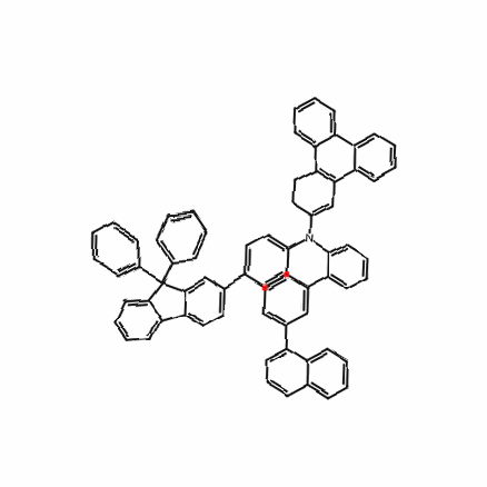 C1=C(N(c2ccc(-c3ccc4c(c3)C(c3ccccc3)(c3ccccc3)c3ccccc3-4)cc2)c2ccccc2-c2cccc(-c3cccc4ccccc34)c2)CCc2c1c1ccccc1c1ccccc21